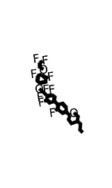 CCCC1CCC(c2ccc(-c3cc(F)c(C(F)(F)Oc4cc(F)c(OC=C(F)F)c(F)c4)c(F)c3)c(F)c2)OC1